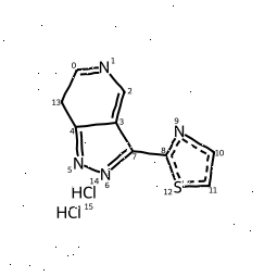 C1=NC=C2C(=NN=C2c2nccs2)C1.Cl.Cl